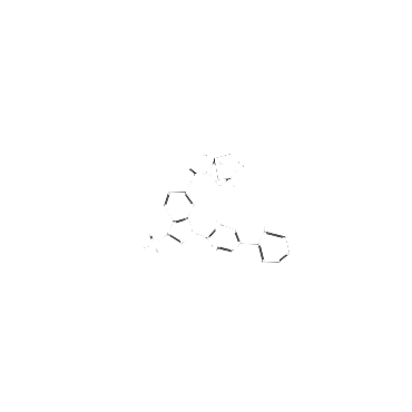 CS(=O)(=O)c1cn(-c2ncc(-c3ccccc3F)cn2)c2cc(C(=O)N3C[C@@H]4C[C@H]3CN4)ccc12